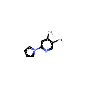 Cc1cnc(-n2cccc2)cc1C